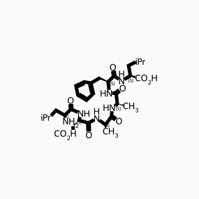 CC(C)C[C@H](NC(=O)[C@H](Cc1ccccc1)NC(=O)[C@H](C)NC(=O)[C@H](C)NC(=O)[C@H](CC(=O)O)NC(=O)[C@@H](N)CC(C)C)C(=O)O